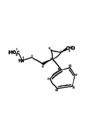 O=C[C@@H]1C[C@@]1(CCNC(=O)O)c1ccccc1